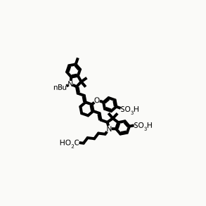 CCCCN1/C(=C/C=C2\CCCC(/C=C/C3N(CCCCCC(=O)O)c4ccc(S(=O)(=O)O)cc4C3(C)C)=C2Oc2ccc(S(=O)(=O)O)cc2)C(C)(C)c2cc(C)ccc21